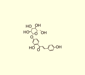 O=C(/C=C/c1ccc(O)cc1)c1ccc(O[C@H]2O[C@@H](CO)[C@H](O)[C@@H](O)[C@@H]2O)cc1O